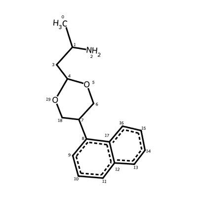 CC(N)CC1OCC(c2cccc3ccccc23)CO1